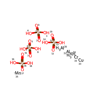 O=S(=O)(O)O.O=S(=O)(O)O.O=S(=O)(O)O.O=S(=O)(O)O.[AlH3].[AlH3].[Cr].[Cu].[KH].[Mn]